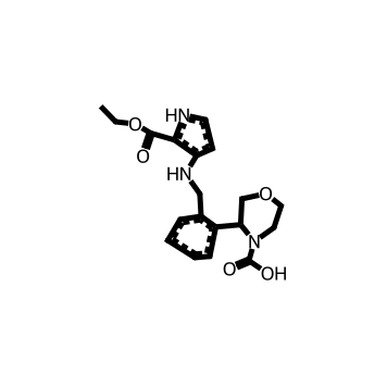 CCOC(=O)c1[nH]ccc1NCc1ccccc1C1COCCN1C(=O)O